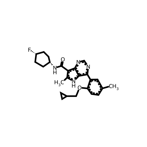 Cc1ccc(OCC2CC2)c(-c2ncnc3c(C(=O)N[C@H]4CC[C@@H](F)CC4)c(C)[nH]c23)c1